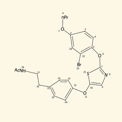 CCCOc1ccc(Oc2ncc(Oc3ccc(CCNC(C)=O)cc3)s2)c(Br)c1